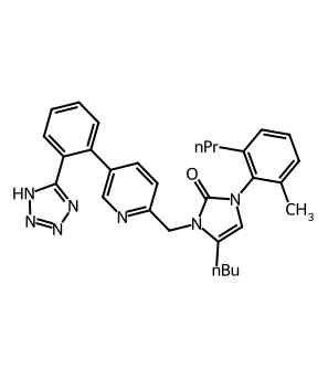 CCCCc1cn(-c2c(C)cccc2CCC)c(=O)n1Cc1ccc(-c2ccccc2-c2nnn[nH]2)cn1